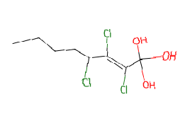 CCCCC(Cl)C(Cl)=C(Cl)C(O)(O)O